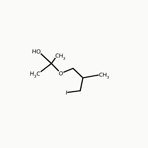 CC(CI)COC(C)(C)O